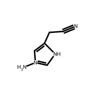 N#CCc1c[n+](N)c[nH]1